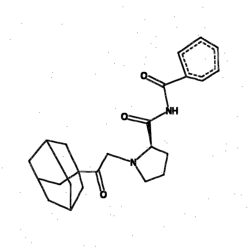 O=C(NC(=O)[C@H]1CCCN1CC(=O)C12CC3CC(CC(C3)C1)C2)c1ccccc1